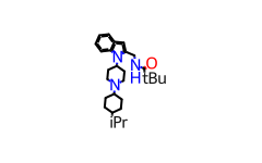 CC(C)C1CCC(N2CCC(n3c(CNC(=O)C(C)(C)C)cc4ccccc43)CC2)CC1